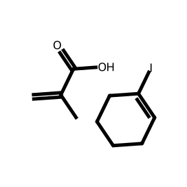 C=C(C)C(=O)O.IC1=CCCCC1